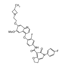 COc1cc2c(Oc3ccc(NC(=O)c4c5c(cn(-c6ccc(F)cc6)c4=O)CCO5)cc3F)ccnc2cc1OCCN1CC(C)C1